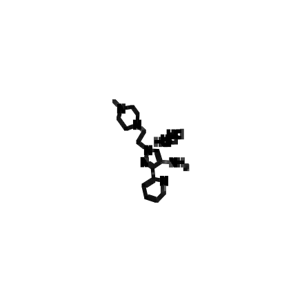 CN1CCN(CCn2cc(N)c(-c3ccccn3)n2)CC1.Cl.Cl.Cl